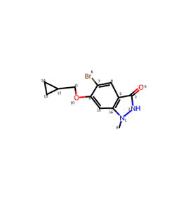 Cn1[nH]c(=O)c2cc(Br)c(OCC3CC3)cc21